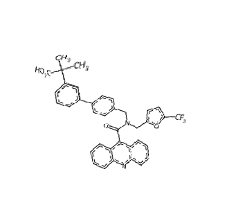 CC(C)(C(=O)O)c1cccc(-c2ccc(CN(Cc3ccc(C(F)(F)F)o3)C(=O)c3c4ccccc4nc4ccccc34)cc2)c1